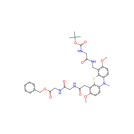 COc1ccc2c(c1CNC(=O)CNC(=O)OC(C)(C)C)Sc1c(ccc(OC)c1CC(=O)NCC(=O)NCC(=O)OCc1ccccc1)N2C